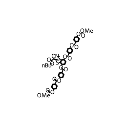 CCCCOC(=O)C(C#N)=C1Sc2c(OC(=O)c3ccc(OC(=O)c4ccc(OC(=O)OC)cc4)cc3)ccc(OC(=O)c3ccc(OC(=O)c4ccc(OC(=O)OC)cc4)cc3)c2S1